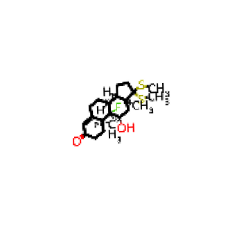 CSC1(SC)CC[C@H]2[C@@H]3CCC4=CC(=O)CC[C@]4(C)[C@@]3(F)[C@@H](O)C[C@@]21C